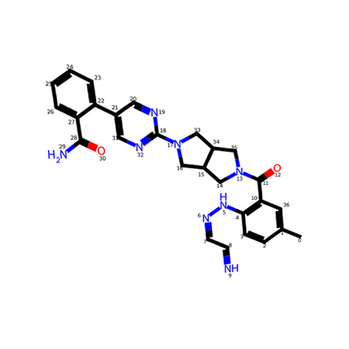 Cc1ccc(N/N=C\C=N)c(C(=O)N2CC3CN(c4ncc(-c5ccccc5C(N)=O)cn4)CC3C2)c1